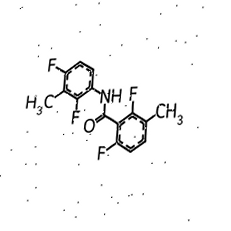 Cc1ccc(F)c(C(=O)Nc2ccc(F)c(C)c2F)c1F